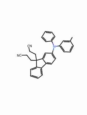 Cc1cccc(N(c2ccccc2)c2ccc3c(c2)C(CCC#N)(CCC#N)c2ccccc2-3)c1